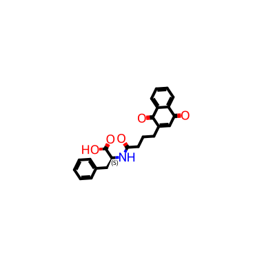 O=C(CCCC1=CC(=O)c2ccccc2C1=O)N[C@@H](Cc1ccccc1)C(=O)O